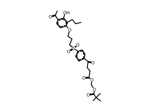 CCCc1c(OCCCS(=O)(=O)c2ccc(C(=O)CCC(=O)OCOC(=O)C(C)(C)C)cc2)ccc(C(C)=O)c1O